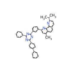 Cc1cc(-c2cccc(-c3nc(-c4ccccc4)nc(-c4ccc(-c5ccccc5)cc4)n3)c2)nc2c1ccc1ccc(C(C)C)nc12